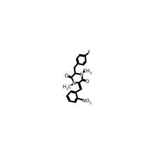 CN1C(=O)C(Cc2ccc(F)cc2)N(C)C(=O)C1=Cc1ccccc1[N+](=O)[O-]